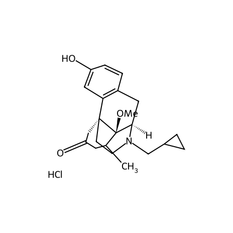 CO[C@@]12C(C)CC(=O)C[C@@]13CCN(CC1CC1)[C@@H]2Cc1ccc(O)cc13.Cl